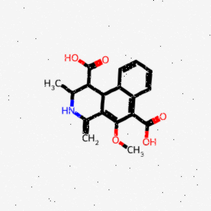 C=C1NC(C)C(C(=O)O)C2C1=C(OC)C(C(=O)O)=C1C=CC=CC12